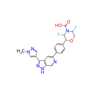 Cn1cc(-c2n[nH]c3cnc(-c4ccc(C5OCC(F)N(C(=O)O)C5F)cc4)cc23)cn1